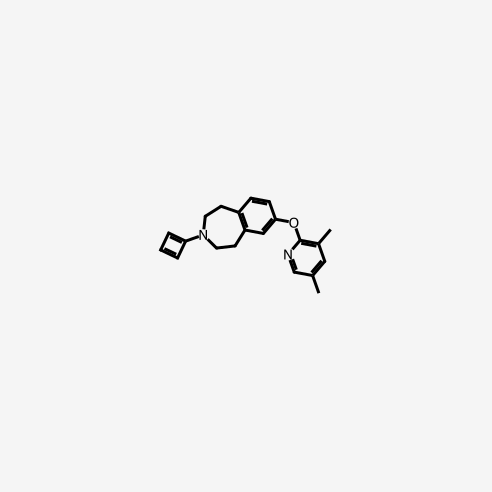 Cc1cnc(Oc2ccc3c(c2)CCN(C2=CC=C2)CC3)c(C)c1